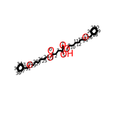 O=C(CCC(O)C(=O)OCCCCCCOCc1ccccc1)OCCCCCCOCc1ccccc1